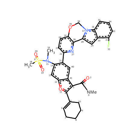 CNC(=O)c1c(C2=CCCCC2)oc2cc(N(C)S(C)(=O)=O)c(-c3ccc4c(n3)-c3cc5c(F)cccc5n3CO4)cc12